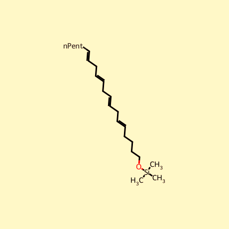 CCCCCC=CCC=CCC=CCC=CCCCCO[Si](C)(C)C